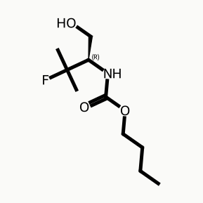 CCCCOC(=O)N[C@H](CO)C(C)(C)F